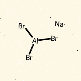 [Br][Al]([Br])[Br].[Na]